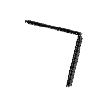 [Fe+3].[Fe+3].[Fe+3].[Fe+3].[Fe+3].[Fe+3].[Fe+3].[Fe+3].[Fe+3].[Fe+3].[Fe+3].[Fe+3].[Fe+3].[Fe+3].[Fe+3].[Fe+3].[Fe+3].[Fe+3].[Fe+3].[Fe+3].[Fe+3].[Fe+3].[Fe+3].[Fe+3].[Fe+3].[Fe+3].[Fe+3].[Fe+3].[Fe+3].[Fe+3].[Fe+3].[Fe+3].[Fe+3].[Fe+3].[Fe+3].[Fe+3].[Fe+3].[Fe+3].[Fe+3].[Fe+3].[Fe+3].[Fe+3].[Fe+3].[Fe+3].[Fe+3].[Fe+3].[Fe+3].[Fe+3].[Fe+3].[Fe+3].[Fe+3].[Fe+3].[Fe+3].[Fe+3].[Fe+3].[Fe+3].[Fe+3].[Fe+3].[Fe+3].[Fe+3].[Fe+3].[Fe+3].[Fe+3].[Fe+3].[Fe+3].[Fe+3].[Fe+3].[Fe+3].[O-2].[O-2].[O-2].[O-2].[O-2].[O-2]